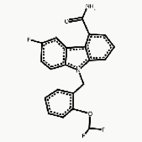 NC(=O)c1cccc2c1c1[c]c(F)ccc1n2Cc1ccccc1OC(F)F